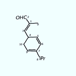 CC(C=O)=CC1C=CC(C(C)C)=CC1